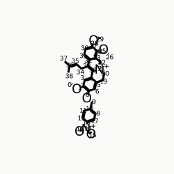 COc1cc2c(cc1OCc1ccc([N+](=O)[O-])cc1)CC[n+]1cc3c(OC)c(OC)ccc3c(CC=C(C)C)c1-2